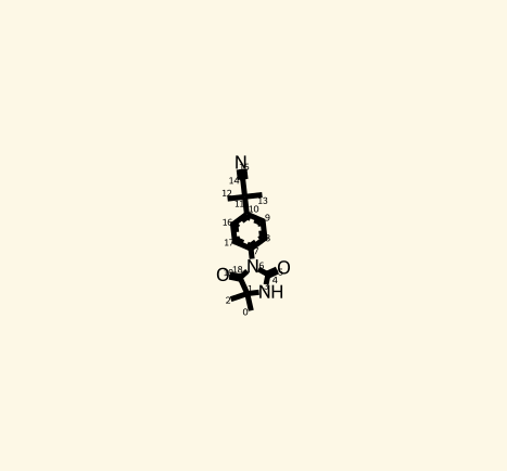 CC1(C)NC(=O)N(c2ccc(C(C)(C)C#N)cc2)C1=O